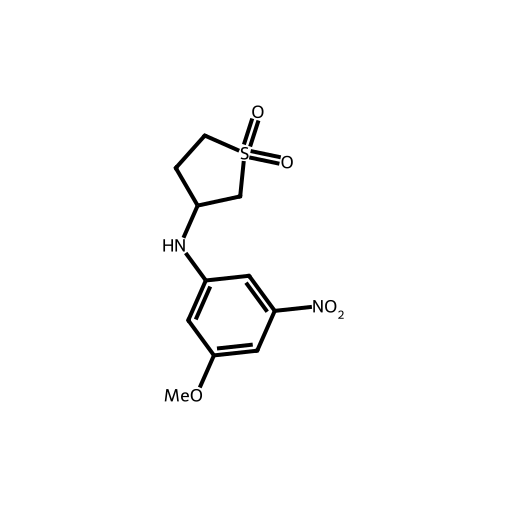 COc1cc(NC2CCS(=O)(=O)C2)cc([N+](=O)[O-])c1